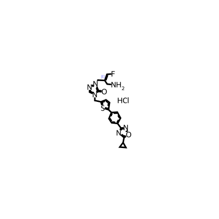 Cl.NC/C(=C\F)Cn1ncn(Cc2ccc(-c3ccc(-c4noc(C5CC5)n4)cc3)s2)c1=O